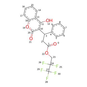 O=C(CC(c1ccccc1)c1c(O)c2ccccc2oc1=O)OCC(F)(F)C(F)(F)F